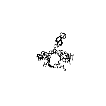 C[C@@H]1CCC=C[C@@H]2C[C@@]2(C(=O)NS(=O)(=O)C2(C)CC2)NC(=O)[C@@H]2C[C@@H](Oc3nccc4c5c(ccc34)OCCO5)CN2C(=O)[C@@H](N(CC2(C)CC2)C(=O)O)[C@H](C)C1